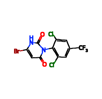 O=c1cc(Br)[nH]c(=O)n1-c1c(Cl)cc(C(F)(F)F)cc1Cl